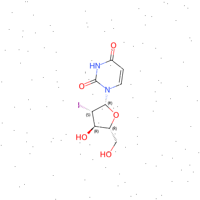 O=c1ccn([C@@H]2O[C@H](CO)[C@@H](O)[C@@H]2I)c(=O)[nH]1